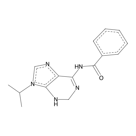 CC(C)n1cnc2c1NCN=C2NC(=O)c1ccccc1